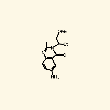 CCC(COC)n1c(C)nc2ccc(N)cc2c1=O